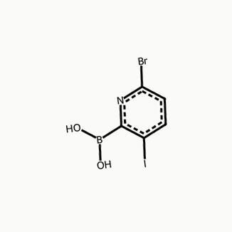 OB(O)c1nc(Br)ccc1I